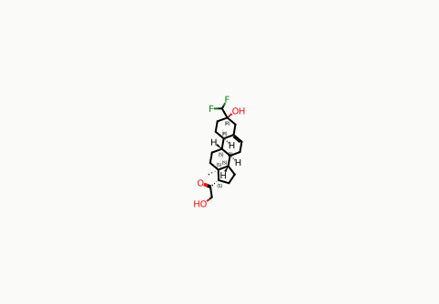 C[C@]12CC[C@H]3[C@@H](CC=C4C[C@@](O)(C(F)F)CC[C@@H]43)[C@@H]1CC[C@@H]2C(=O)CO